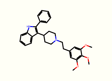 COc1cc(CCN2CCC(c3c(-c4ccccc4)[nH]c4ccccc34)CC2)cc(OC)c1OC